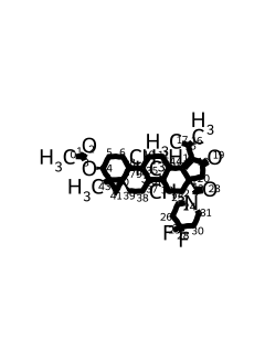 CC(=O)O[C@H]1CC[C@]2(C)C3CC[C@@H]4C5=C(C(C)C)C(=O)C[C@]5(C(=O)N5CCC(F)(F)CC5)CC[C@@]4(C)[C@]3(C)CC[C@]23CC13C